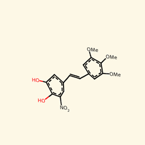 COc1cc(C=Cc2cc(O)c(O)c([N+](=O)[O-])c2)cc(OC)c1OC